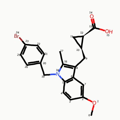 COc1ccc2c(c1)c(C[C@H]1C[C@H]1C(=O)O)c(C)n2Cc1ccc(Br)cc1